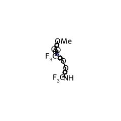 COc1ccc(S(=O)(=O)O/N=C(/c2ccc(OCCCOc3ccc(C(=N)C(F)(F)F)cc3)cc2)C(F)(F)F)cc1